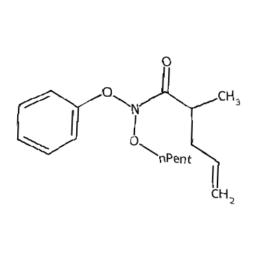 C=CCC(C)C(=O)N(OCCCCC)Oc1ccccc1